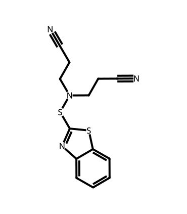 N#CCCN(CCC#N)Sc1nc2ccccc2s1